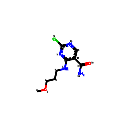 COCCCNc1nc(Cl)ncc1C(N)=O